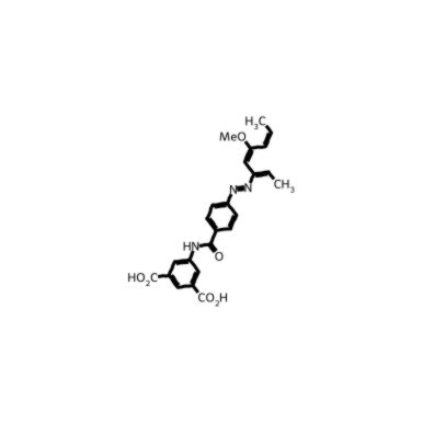 C\C=C/C(=C\C(=C\C)N=Nc1ccc(C(=O)Nc2cc(C(=O)O)cc(C(=O)O)c2)cc1)OC